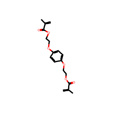 C=C(C)C(=O)OCCOc1ccc(OCCOC(=O)C(=C)C)cc1